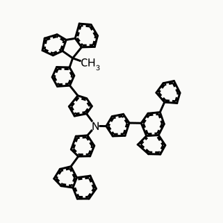 CC1(c2cccc(-c3ccc(N(c4ccc(-c5cccc6ccccc56)cc4)c4ccc(-c5cc(-c6ccccc6)cc6ccccc56)cc4)cc3)c2)c2ccccc2-c2ccccc21